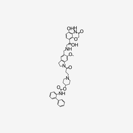 COc1cc2c(cc1CNC[C@H](O)c1ccc(O)c3c1OCC(=O)N3)CCN2C(=O)CCN1CCC(OC(=O)Nc2ccccc2-c2ccccc2)CC1